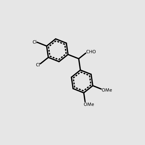 COc1ccc(C(C=O)c2ccc(Cl)c(Cl)c2)cc1OC